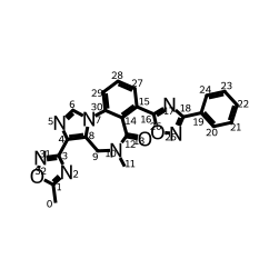 Cc1nc(-c2ncn3c2CN(C)C(=O)c2c(-c4nc(-c5ccccc5)no4)cccc2-3)no1